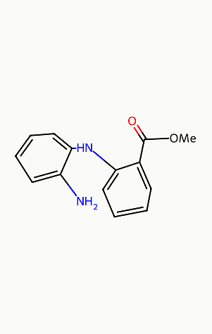 COC(=O)c1ccccc1Nc1ccccc1N